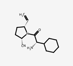 C=C[C@H]1CC[C@@H](C#N)N1C(=O)[C@@H](N)C1CCCCC1